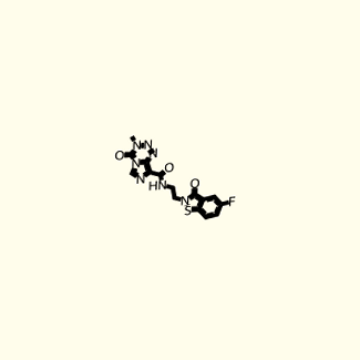 Cn1nnc2c(C(=O)NCCn3sc4ccc(F)cc4c3=O)ncn2c1=O